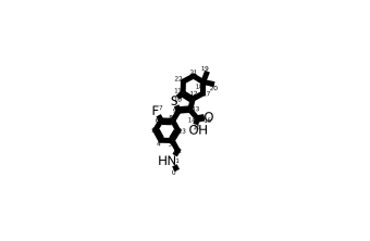 CNCc1ccc(F)c(-c2sc3c(c2C(=O)O)CC(C)(C)CC3)c1